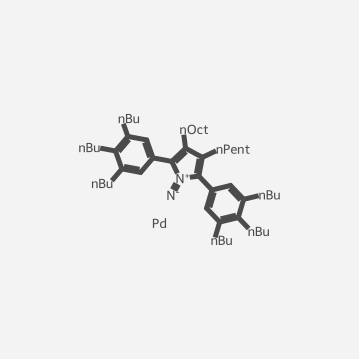 CCCCCCCCC1=C(c2cc(CCCC)c(CCCC)c(CCCC)c2)[N+](=[N-])C(c2cc(CCCC)c(CCCC)c(CCCC)c2)=C1CCCCC.[Pd]